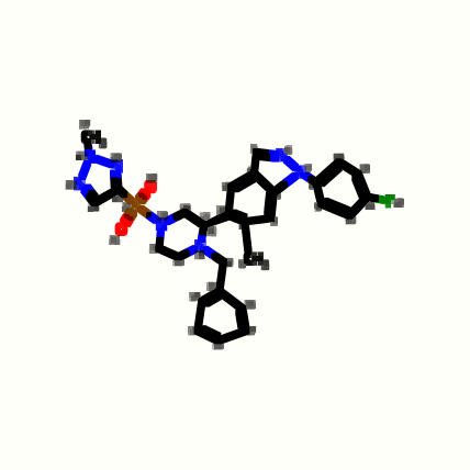 Cc1cc2c(cnn2-c2ccc(F)cc2)cc1[C@@H]1CN(S(=O)(=O)c2cnn(C)n2)CCN1Cc1ccccc1